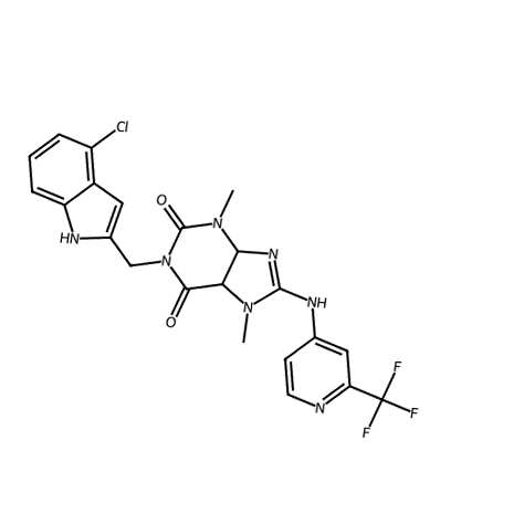 CN1C(=O)N(Cc2cc3c(Cl)cccc3[nH]2)C(=O)C2C1N=C(Nc1ccnc(C(F)(F)F)c1)N2C